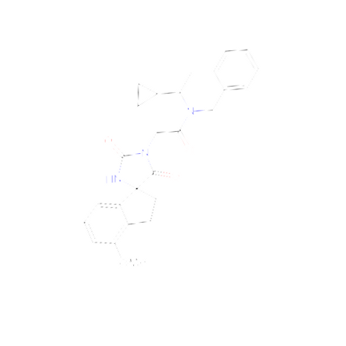 COc1cccc2c1CCC21NC(=O)N(CC(=O)N(Cc2ccccc2)C(C)C2CC2)C1=O